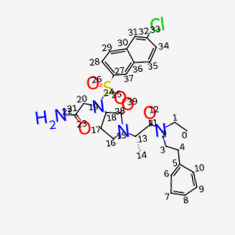 CCN(CCc1ccccc1)C(=O)[C@H](C)N1CC[C@H](N(CC(N)=O)S(=O)(=O)c2ccc3cc(Cl)ccc3c2)C1=O